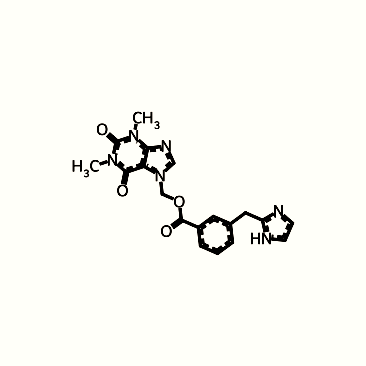 Cn1c(=O)c2c(ncn2COC(=O)c2cccc(Cc3ncc[nH]3)c2)n(C)c1=O